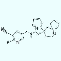 N#Cc1cc(CNCCC2(c3ccccn3)CCOC3(CCCC3)C2)cnc1F